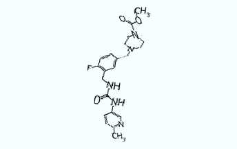 COC(=O)N1CCN(Cc2ccc(F)c(CNC(=O)Nc3ccc(C)nc3)c2)CC1